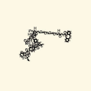 C#CCCCCN(C(=O)C(NC(=O)[C@H]1CCCCN1C)[C@@H](C)CC)[C@H](C[C@@H](OC(C)=O)c1nc(C(=O)N[C@@H](Cc2ccc(NC(=O)[C@H](CCCNC(N)=O)NC(=O)[C@@H](NC(=O)CCOCCOCCOCCOCCNC(=O)CCC(=O)N3Cc4ccccc4CCc4ccccc43)C(C)C)cc2)CC(C)(C)C(=O)O)cs1)C(C)C